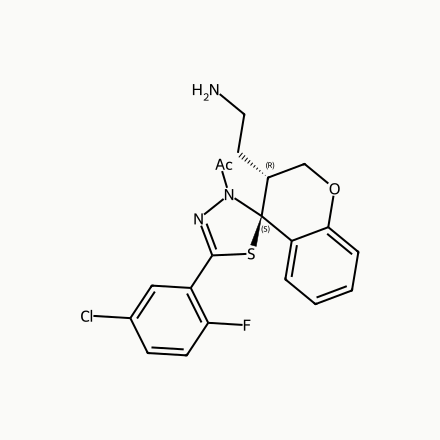 CC(=O)N1N=C(c2cc(Cl)ccc2F)S[C@@]12c1ccccc1OC[C@H]2CCN